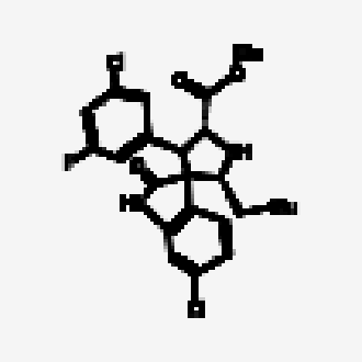 CC(C)(C)C[C@@H]1N[C@@H](C(=O)OC(C)(C)C)[C@H](c2cc(F)cc(Cl)c2)C12C(=O)Nc1cc(Cl)ccc12